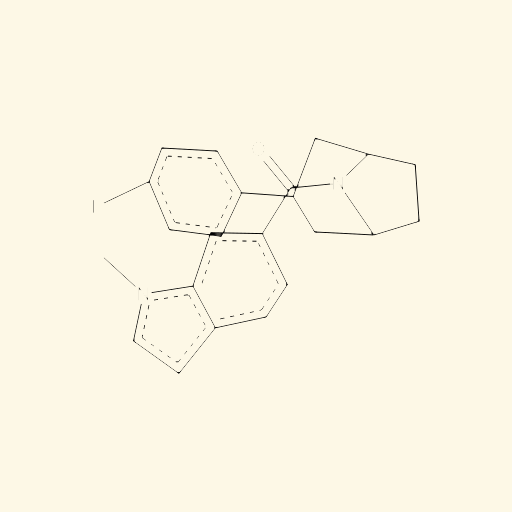 Cn1ccc2ccc(C(=O)N3C4CCC3CC(c3ccc(F)cc3)C4)cc21